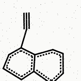 C#Cc1cccc2[c]cccc12